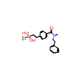 CC[Si](O)(O)CCc1ccc(C(=O)N(C)CCc2ccccc2)cc1